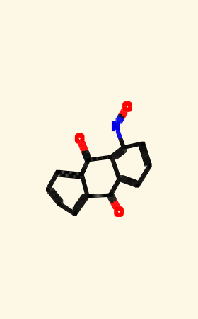 O=Nc1cccc2c1C(=O)c1ccccc1C2=O